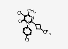 Cc1nc(C2CC(C(F)(F)F)C2)n(-c2ccc(Cl)cc2)c(=O)c1Cl